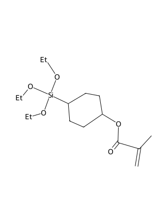 C=C(C)C(=O)OC1CCC([Si](OCC)(OCC)OCC)CC1